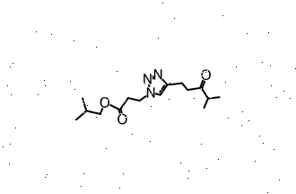 CC(C)COC(=O)CCn1cc(CCC(=O)C(C)C)nn1